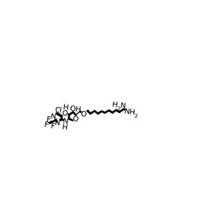 NC(N)CCCCCCCCCCOC[C@H]1OC[C@H](Nc2cc(Cl)nc(C(F)(F)F)n2)[C@@H](O)[C@H]1O